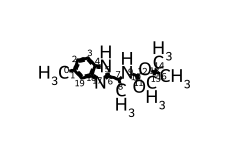 Cc1ccc2[nH]c(C(C)NC(=O)OC(C)(C)C)nc2c1